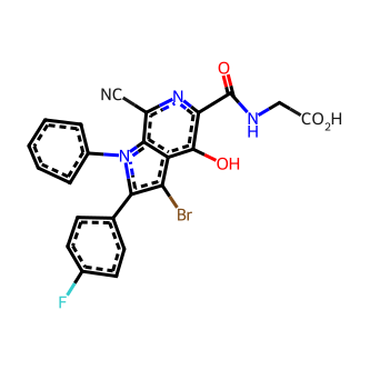 N#Cc1nc(C(=O)NCC(=O)O)c(O)c2c(Br)c(-c3ccc(F)cc3)n(-c3ccccc3)c12